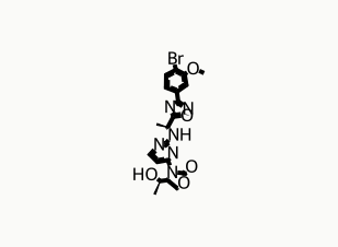 COc1cc(-c2noc([C@H](C)Nc3nccc(N4C(=O)OCC4[C@@H](C)O)n3)n2)ccc1Br